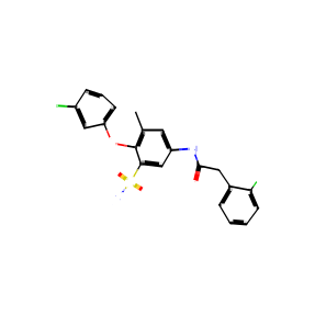 Cc1cc(NC(=O)Cc2ccccc2Cl)cc(S(N)(=O)=O)c1Oc1cccc(Cl)c1